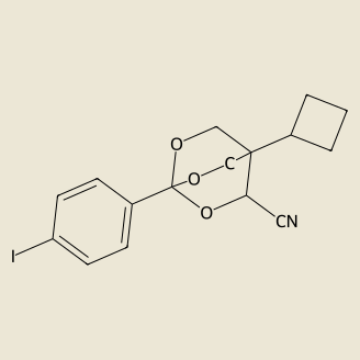 N#CC1OC2(c3ccc(I)cc3)OCC1(C1CCC1)CO2